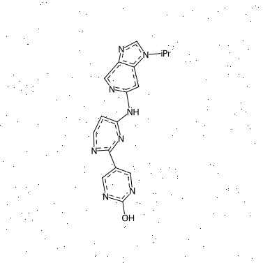 CC(C)n1cnc2cnc(Nc3ccnc(-c4cnc(O)nc4)n3)cc21